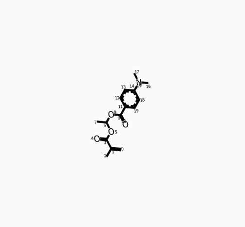 C=C(C)C(=O)OC(C)OC(=O)c1ccc(N(C)C)cc1